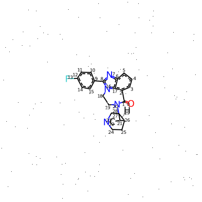 O=C1c2cccc3nc(-c4ccc(F)cc4)n(c23)CCN1[C@@H]1CN2CCC1CC2